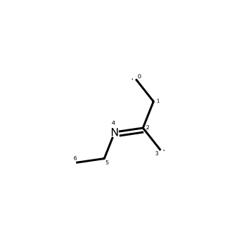 [CH2]CC([CH2])=NCC